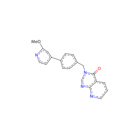 COc1cc(-c2ccc(Cn3cnc4ncccc4c3=O)cc2)ccn1